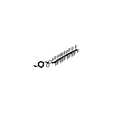 CC[C@H]1CC[C@H](CC(=O)OCC(F)(F)C(F)(F)C(F)(F)C(F)(F)C(F)(F)C(F)(F)C(F)(F)C(F)(F)C(F)(F)C(F)F)CC1